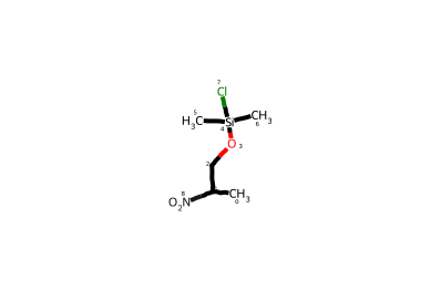 CC(CO[Si](C)(C)Cl)[N+](=O)[O-]